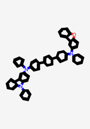 C1=C(C2=CC=C(N(c3ccccc3)c3ccc4oc5ccccc5c4c3)CC2)CCC(c2ccc(N(c3ccccc3)c3ccc4c(c3)c3ccccc3n4-c3ccccc3)cc2)=C1